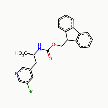 O=C(N[C@@H](Cc1cncc(Br)c1)C(=O)O)OCC1c2ccccc2-c2ccccc21